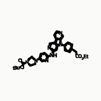 CCOC(=O)Cc1ccc(-n2c3cnccc3c3cnc(Nc4ccc(N5CCN(C(=O)OC(C)(C)C)CC5)cn4)cc32)cc1